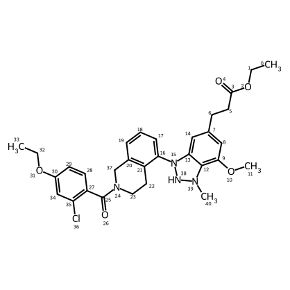 CCOC(=O)CCc1cc(OC)c2c(c1)N(c1cccc3c1CCN(C(=O)c1ccc(OCC)cc1Cl)C3)NN2C